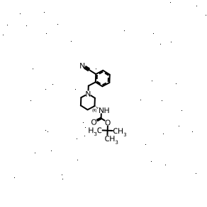 CC(C)(C)OC(=O)N[C@@H]1CCCN(Cc2ccccc2C#N)C1